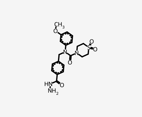 COc1cccc(N(Cc2ccc(C(=O)NN)cc2)C(=O)N2CCS(=O)(=O)CC2)c1